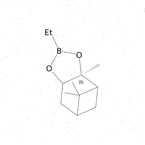 CCB1OC2CC3CC(C3(C)C)[C@]2(C)O1